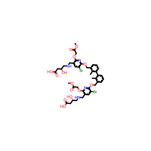 COC(=O)COc1nc(OCc2cccc(-c3cccc(COc4nc(OCC(=O)OC)c(CNC[C@@H](O)CC(=O)O)cc4Br)c3C)c2C)c(Br)cc1CNC[C@@H](O)CC(=O)O